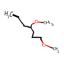 CCCC(C[CH]OC)OC